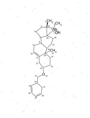 CC(O)[C@@]1(C)CCC2C3CC=C4CC(OCC5C=CC=CC5)CCC4(C)C3CCC21C